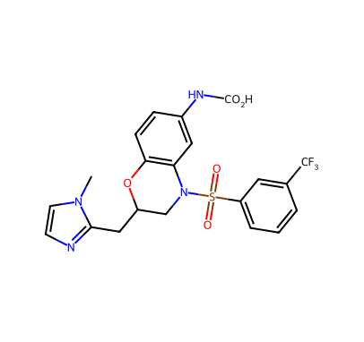 Cn1ccnc1CC1CN(S(=O)(=O)c2cccc(C(F)(F)F)c2)c2cc(NC(=O)O)ccc2O1